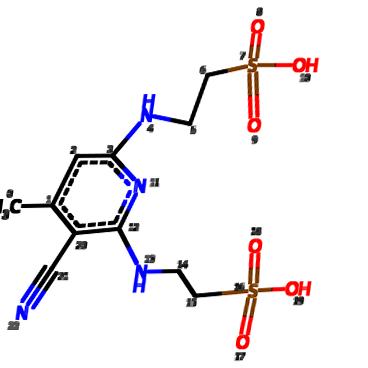 Cc1cc(NCCS(=O)(=O)O)nc(NCCS(=O)(=O)O)c1C#N